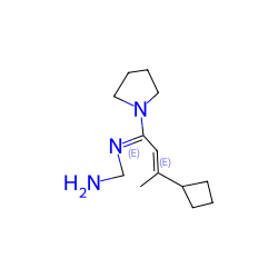 C/C(=C\C(=N/CN)N1CCCC1)C1CCC1